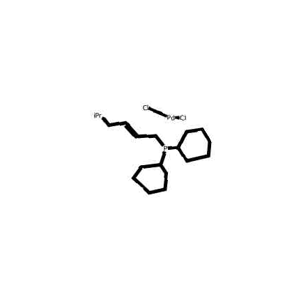 CC(C)CC=CCP(C1CCCCC1)C1CCCCC1.[Cl][Pd][Cl]